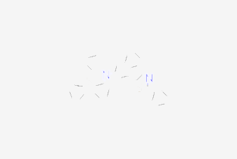 C1=CCC(N(c2cc3c4c(cccc4c2)-c2nc(-c4ccccc4)sc2-3)c2cccc3c2sc2ccccc23)C=C1